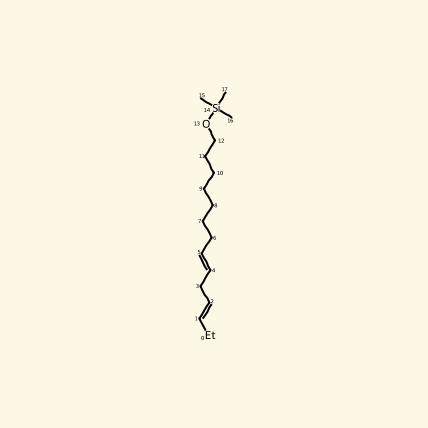 CCC=CCC=CCCCCCCCO[Si](C)(C)C